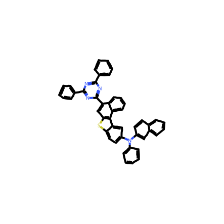 c1ccc(-c2nc(-c3ccccc3)nc(-c3cc4sc5ccc(N(c6ccccc6)c6ccc7ccccc7c6)cc5c4c4ccccc34)n2)cc1